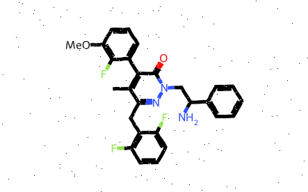 COc1cccc(-c2c(C)c(Cc3c(F)cccc3F)nn(CC(N)c3ccccc3)c2=O)c1F